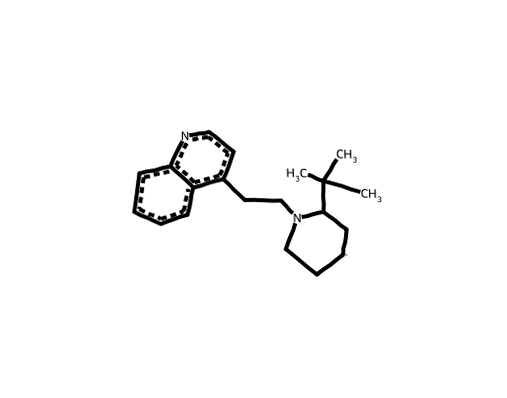 CC(C)(C)C1C[CH]CCN1CCc1ccnc2ccccc12